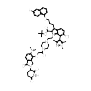 Cc1nn(C)c(C)c1-c1c(Cl)ccc2c(CCCOc3cccc4cc(F)ccc34)c(C(=O)OC(C)(C)C)n(CCN3CCN(C(=O)COc4c(N(C)C)ccc5c4CN(C4CCC(=O)NC4=O)C5=O)CC3)c12